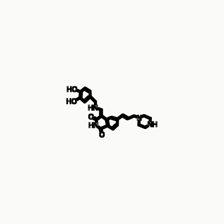 O=C1NC(=O)c2ccc(C=CCN3CCNCC3)cc2C1=CNCc1ccc(O)c(O)c1